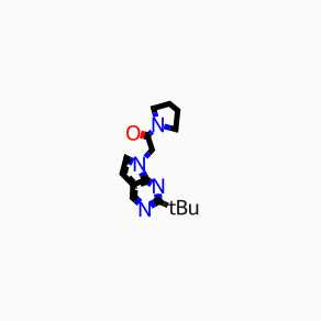 CC(C)(C)c1ncc2ccn(CC(=O)N3CCCC3)c2n1